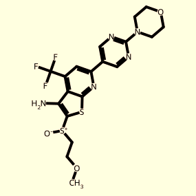 COCC[S+]([O-])c1sc2nc(-c3cnc(N4CCOCC4)nc3)cc(C(F)(F)F)c2c1N